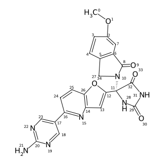 COc1ccc2c(c1)C(=O)N([C@@]1(c3cc4nc(-c5cnc(N)nc5)ccc4o3)NC(=O)NC1=O)C2